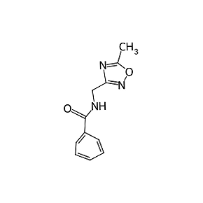 Cc1nc(CNC(=O)c2ccccc2)no1